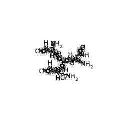 Cl.NCCCC[C@@H](NC(=O)Cc1c[nH]c2cc(Cl)ccc12)C(=O)Nc1ccc(C(c2ccc(NC(=O)[C@@H](CCCCN)NC(=O)Cc3c[nH]c4cc(Cl)ccc34)cc2)c2ccc(NC(=O)[C@@H](CCCCN)NC(=O)Cc3c[nH]c4cc(Cl)ccc34)cc2)cc1